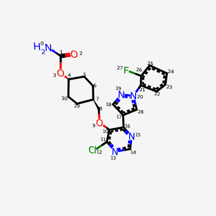 NC(=O)O[C@H]1CC[C@@H](COc2c(Cl)ncnc2-c2cnn(-c3ccccc3F)c2)CC1